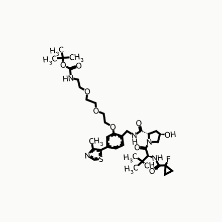 Cc1ncsc1-c1ccc(CNC(=O)[C@@H]2C[C@@H](O)CN2C(=O)[C@@H](NC(=O)C2(F)CC2)C(C)(C)C)c(OCCOCCOCCNC(=O)OC(C)(C)C)c1